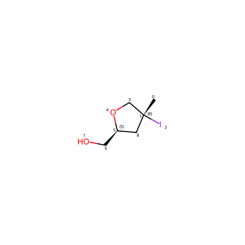 C[C@]1(I)CO[C@H](CO)C1